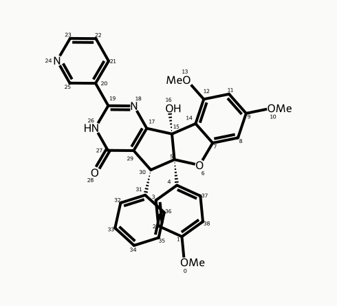 COc1ccc([C@@]23Oc4cc(OC)cc(OC)c4[C@]2(O)c2nc(-c4cccnc4)[nH]c(=O)c2[C@H]3c2ccccc2)cc1